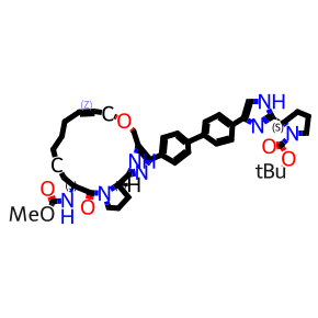 COC(=O)N[C@H]1CCCCC/C=C\COCc2[nH]c(nc2-c2ccc(-c3ccc(-c4c[nH]c([C@@H]5CCCN5C(=O)OC(C)(C)C)n4)cc3)cc2)[C@@H]2CCCN2C1=O